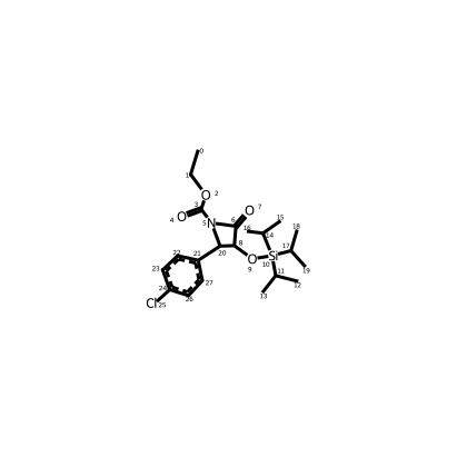 CCOC(=O)N1C(=O)C(O[Si](C(C)C)(C(C)C)C(C)C)C1c1ccc(Cl)cc1